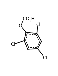 O=C(O)Oc1c(Cl)cc(Cl)cc1Cl